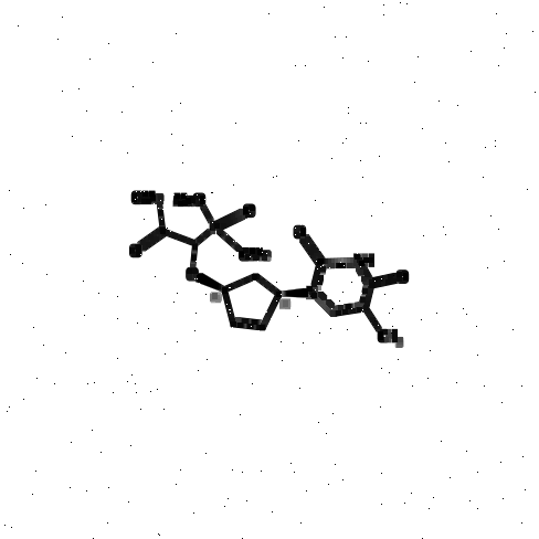 COC(=O)C(O[C@@H]1C=C[C@H](n2cc(C)c(=O)[nH]c2=O)C1)P(=O)(OC)OC